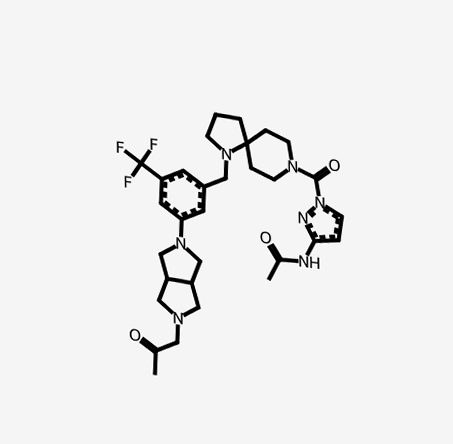 CC(=O)CN1CC2CN(c3cc(CN4CCCC45CCN(C(=O)n4ccc(NC(C)=O)n4)CC5)cc(C(F)(F)F)c3)CC2C1